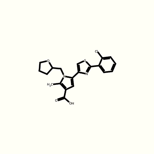 Cc1c(C(=O)O)cc(-c2csc(-c3ccccc3Cl)n2)n1CC1CCCO1